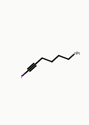 CCCCC[CH]CC#CI